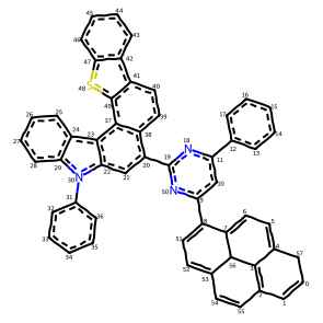 C1=CC2=C3C(=CC=C4C(c5cc(-c6ccccc6)nc(-c6cc7c(c8ccccc8n7-c7ccccc7)c7c6ccc6c8ccccc8sc67)n5)=CC=C(C=C2)C43)C1